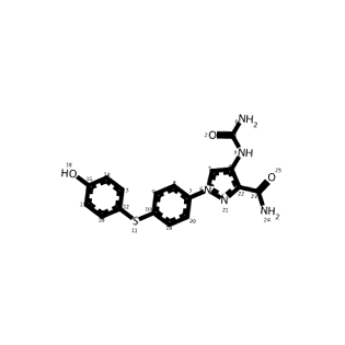 NC(=O)Nc1cn(-c2ccc(Sc3ccc(O)cc3)cc2)nc1C(N)=O